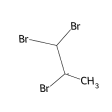 C[C](Br)C(Br)Br